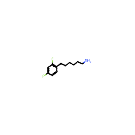 NCCCCCCc1ccc(F)cc1F